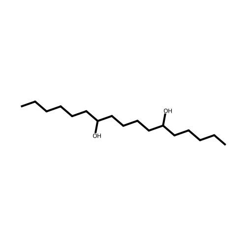 CCCCCCC(O)CCCCC(O)CCCCC